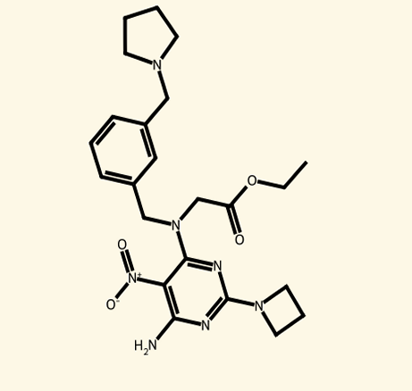 CCOC(=O)CN(Cc1cccc(CN2CCCC2)c1)c1nc(N2CCC2)nc(N)c1[N+](=O)[O-]